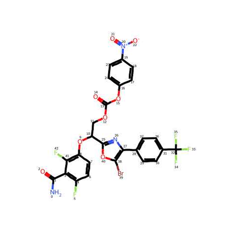 NC(=O)c1c(F)ccc(OC(COC(=O)Oc2ccc([N+](=O)[O-])cc2)c2nc(-c3ccc(C(F)(F)F)cc3)c(Br)o2)c1F